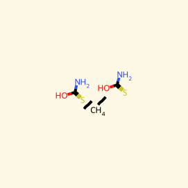 C.CC.CC.NC(O)=S.NC(O)=S